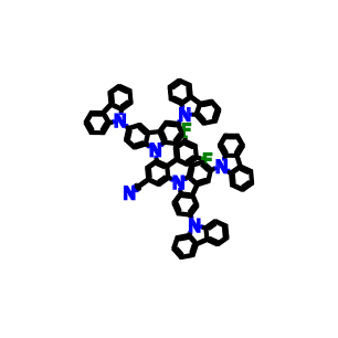 N#Cc1cc(-n2c3ccc(-n4c5ccccc5c5ccccc54)cc3c3cc(-n4c5ccccc5c5ccccc54)ccc32)c(-c2cc(F)cc(F)c2)c(-n2c3ccc(-n4c5ccccc5c5ccccc54)cc3c3cc(-n4c5ccccc5c5ccccc54)ccc32)c1